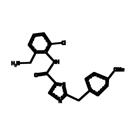 COc1ccc(Cc2ncc(C(=O)Nc3c(Cl)cccc3CN)s2)cc1